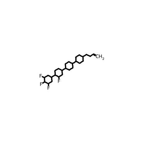 C=CCCC1CCC(C2CCC(C3CCC(C4CC(F)C(F)C(F)C4)C(F)C3)CC2)CC1